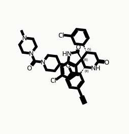 C#Cc1ccc(OC2CCN(C(=O)N3CCN(C)CC3)CC2)c([C@H]2NC(=O)C[C@@H](C3C=CC=C(Cl)C3)[C@]23C(=O)Nc2cc(Cl)ccc23)c1